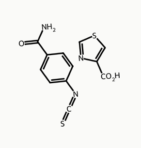 NC(=O)c1ccc(N=C=S)cc1.O=C(O)c1cscn1